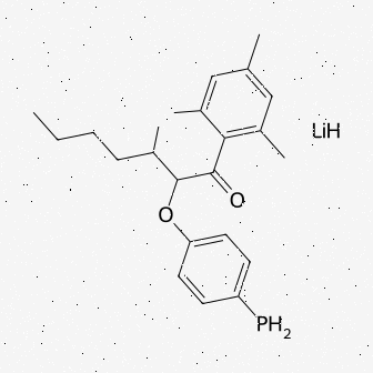 CCCCC(C)C(Oc1ccc(P)cc1)C(=O)c1c(C)cc(C)cc1C.[LiH]